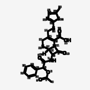 CC(=O)OC(C(=O)NC1C(=O)N2C(C(=O)O)=C(CSc3nnc(C)s3)CS[C@@H]12)c1ccccc1